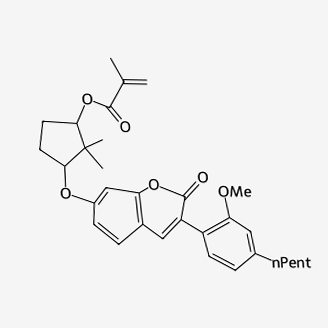 C=C(C)C(=O)OC1CCC(Oc2ccc3cc(-c4ccc(CCCCC)cc4OC)c(=O)oc3c2)C1(C)C